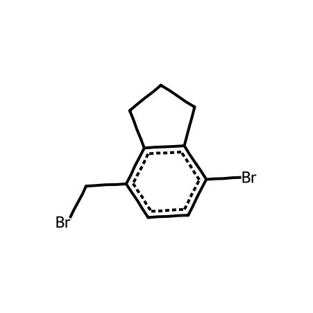 BrCc1ccc(Br)c2c1CCC2